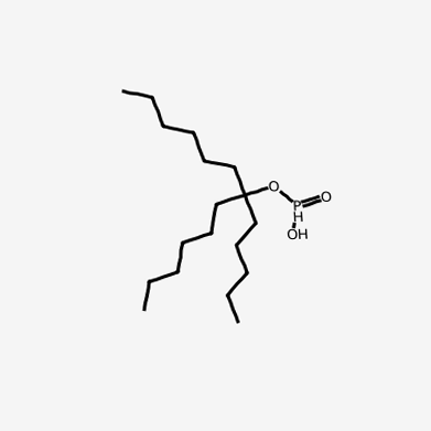 CCCCCCC(CCCCC)(CCCCCC)O[PH](=O)O